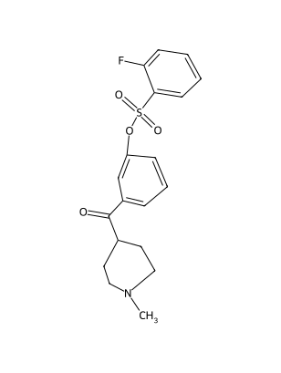 CN1CCC(C(=O)c2cccc(OS(=O)(=O)c3ccccc3F)c2)CC1